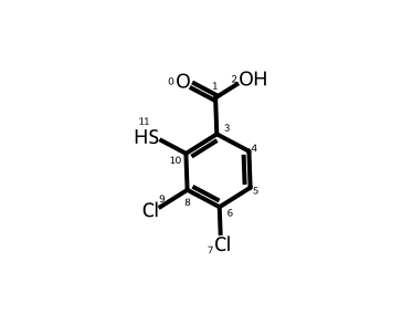 O=C(O)c1ccc(Cl)c(Cl)c1S